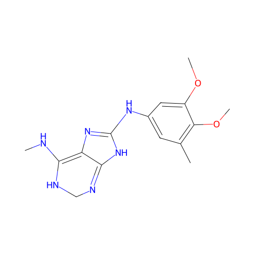 CNC1=c2nc(Nc3cc(C)c(OC)c(OC)c3)[nH]c2=NCN1